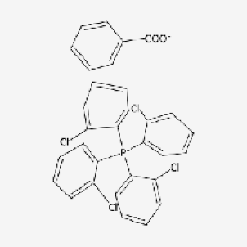 Clc1ccccc1[P+](c1ccccc1Cl)(c1ccccc1Cl)c1ccccc1Cl.O=C([O-])c1ccccc1